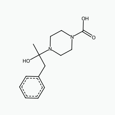 CC(O)(Cc1ccccc1)N1CCN(C(=O)O)CC1